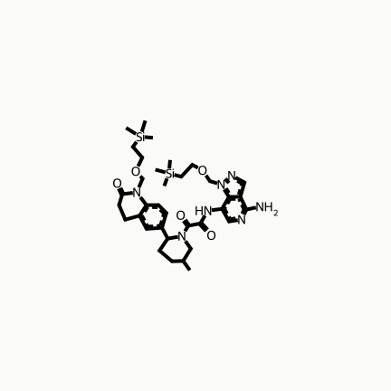 CC1CCC(c2ccc3c(c2)CCC(=O)N3COCC[Si](C)(C)C)N(C(=O)C(=O)Nc2cnc(N)c3cnn(COCC[Si](C)(C)C)c23)C1